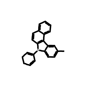 Cc1ccc2c(c1)c1c3ccccc3ccc1n2C1=CCCC=C1